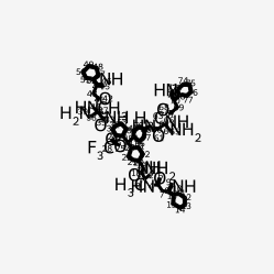 C[C@](CN)(NC(=O)Cc1c[nH]c2ccccc12)C(=O)Nc1ccc(C(OC(=O)C(F)(F)F)(c2ccc(NC(=O)[C@@](C)(CN)NC(=O)Cc3c[nH]c4ccccc34)cc2)c2ccc(NC(=O)[C@@](C)(CN)NC(=O)Cc3c[nH]c4ccccc34)cc2)cc1